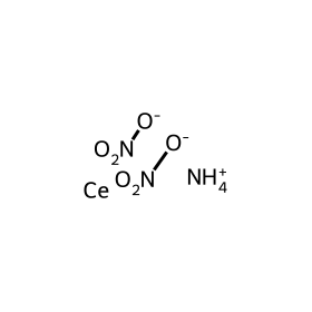 O=[N+]([O-])[O-].O=[N+]([O-])[O-].[Ce].[NH4+]